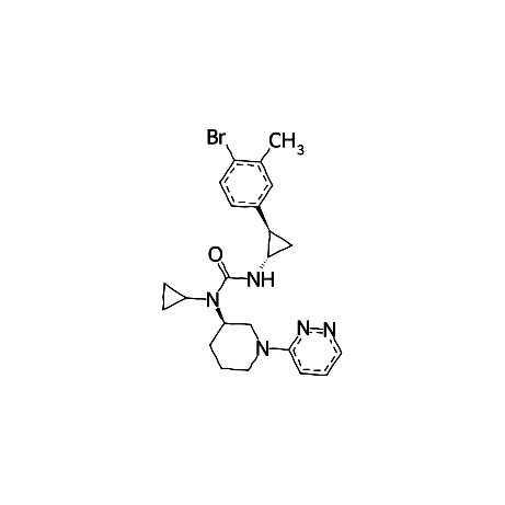 Cc1cc([C@H]2C[C@@H]2NC(=O)N(C2CC2)[C@@H]2CCCN(c3cccnn3)C2)ccc1Br